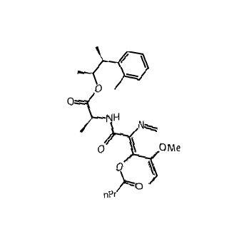 C=N/C(C(=O)N[C@@H](C)C(=O)O[C@@H](C)[C@@H](C)c1ccccc1C)=C(OC(=O)CCC)\C(=C/C)OC